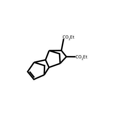 CCOC(=O)C1C2CC(C1C(=O)OCC)C1C3C=CC(C3)C21